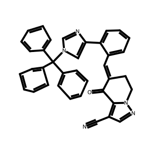 N#Cc1cnn2c1C(=O)/C(=C/c1ccccc1-c1cn(C(c3ccccc3)(c3ccccc3)c3ccccc3)cn1)CC2